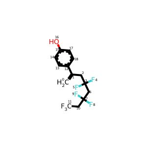 C=C(CC(F)(F)CC(F)(F)CC(F)(F)F)c1ccc(O)cc1